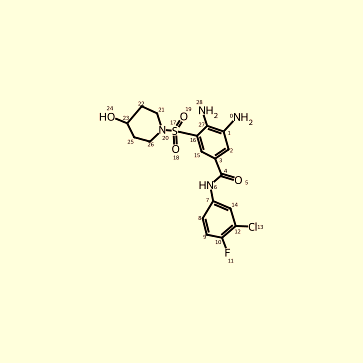 Nc1cc(C(=O)Nc2ccc(F)c(Cl)c2)cc(S(=O)(=O)N2CCC(O)CC2)c1N